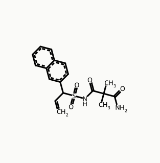 C=CC(c1ccc2ccccc2c1)S(=O)(=O)NC(=O)C(C)(C)C(N)=O